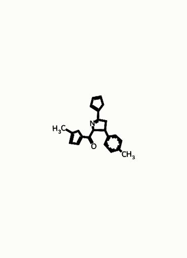 CC1=CC=C(C(=O)C2N=C(C3=CC=CC3)CC2c2ccc(C)cc2)C1